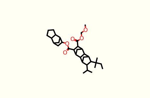 CCC(C)(C)C1C2CC(C3C4CC(C(C(=O)OCOC)C4C(=O)OC4CC5CC4C4CCCC54)C23)C1C(C)C